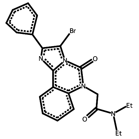 CCN(CC)C(=O)Cn1c(=O)n2c(Br)c(-c3ccccc3)nc2c2ccccc21